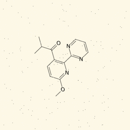 COc1ccc(C(=O)C(C)C)c(-c2ncccn2)n1